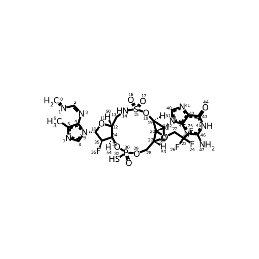 C=N/C=N\c1c(C)ncn1[C@@H]1O[C@@H]2CNS(=O)(=O)O[C@@H]3[C@H](OCC(F)(F)F)[C@@H](COP(=O)(S)O[C@H]2[C@H]1F)O[C@H]3n1cnc2c(=O)[nH]c(N)nc21